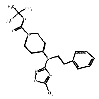 Cc1nc(N(CCc2ccccc2)C2CCN(C(=O)OC(C)(C)C)CC2)no1